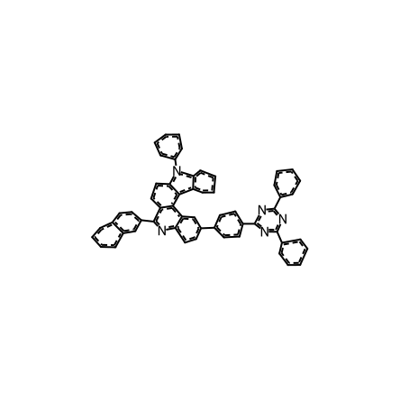 c1ccc(-c2nc(-c3ccccc3)nc(-c3ccc(-c4ccc5nc(-c6ccc7ccccc7c6)c6ccc7c(c8ccccc8n7-c7ccccc7)c6c5c4)cc3)n2)cc1